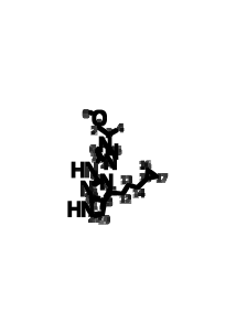 COCC(C)n1cc(Nc2nc(CCCC3CC3)c3cc[nH]c3n2)nn1